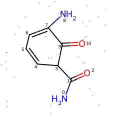 NC(=O)C1C=CC=C(N)C1=O